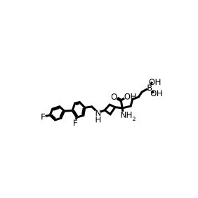 NC(CCCCB(O)O)(C(=O)O)C1CC(NCc2ccc(-c3ccc(F)cc3)c(F)c2)C1